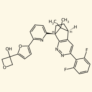 CC1(C)[C@H]2CC[C@@]1(c1cccc(-c3ccc(C4(O)COC4)o3)n1)c1nnc(-c3c(F)cccc3F)cc12